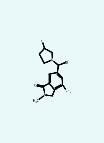 CCC(c1cc2c(c(C(F)(F)F)c1)CN(C)C2=O)N1CCC(F)C1